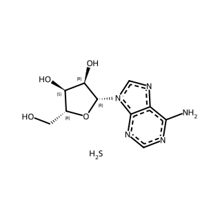 Nc1ncnc2c1ncn2[C@@H]1O[C@H](CO)[C@@H](O)[C@H]1O.S